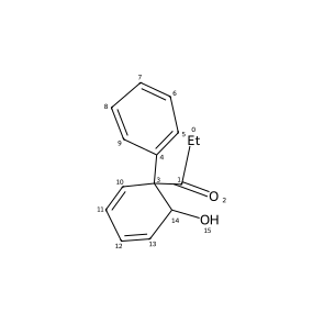 CCC(=O)C1(c2ccccc2)C=CC=CC1O